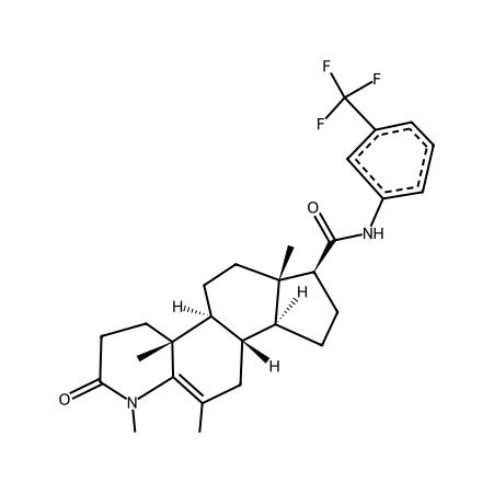 CC1=C2N(C)C(=O)CC[C@]2(C)[C@H]2CC[C@]3(C)[C@@H](C(=O)Nc4cccc(C(F)(F)F)c4)CC[C@H]3[C@@H]2C1